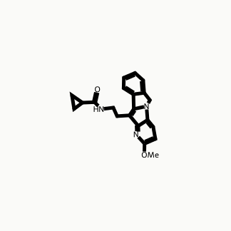 COc1ccc2c(n1)c(CCNC(=O)C1CC1)c1n2Cc2ccccc2-1